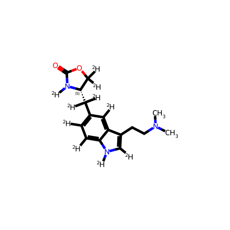 [2H]c1c(C([2H])([2H])[C@@H]2N([2H])C(=O)OC2([2H])[2H])c([2H])c2c(CCN(C)C)c([2H])n([2H])c2c1[2H]